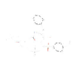 CC(C)(CCCCO[Si](C)(C)C(C)(C)C)CN(C[C@@H](O)[C@H](Cc1ccccc1)NC(=O)OC(C)(C)C)S(=O)(=O)c1ccc2c(c1)OCO2